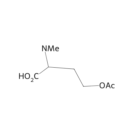 CNC(CCOC(C)=O)C(=O)O